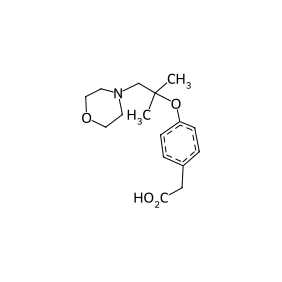 CC(C)(CN1CCOCC1)Oc1ccc(CC(=O)O)cc1